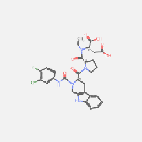 CCN(C(=O)[C@@H]1CCCN1C(=O)[C@H]1Cc2c([nH]c3ccccc23)CN1C(=O)Nc1ccc(Cl)c(Cl)c1)[C@@H](CC(=O)O)C(=O)O